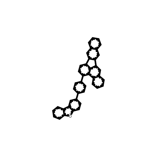 c1ccc2cc3c(cc2c1)-c1ccc(-c2ccc(-c4ccc5oc6ccccc6c5c4)cc2)c2c1c-3cc1ccccc12